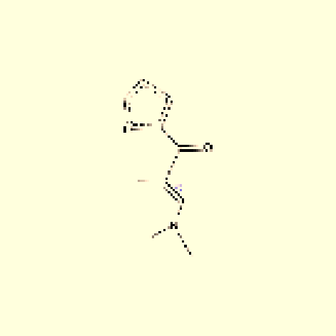 C/C(=C\N(C)C)C(=O)c1ccco1